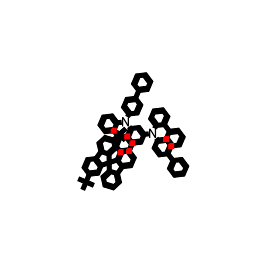 CC(C)(C)c1ccc2c(c1)C1(c3ccccc3-c3ccc(-c4cc(N(c5ccc(-c6ccccc6)cc5)c5ccccc5-c5ccccc5)cc(N(c5ccc(-c6ccccc6)cc5)c5ccccc5-c5ccccc5)c4)cc31)c1cc(C(C)(C)C)ccc1-2